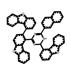 c1ccc2cc(C3=NC(c4c(-c5cccc6oc7ccccc7c56)ccc5oc6ccccc6c45)=NC(c4cccc5oc6ccccc6c45)N3)ccc2c1